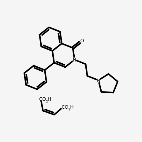 O=C(O)/C=C\C(=O)O.O=c1c2ccccc2c(-c2ccccc2)cn1CCN1CCCC1